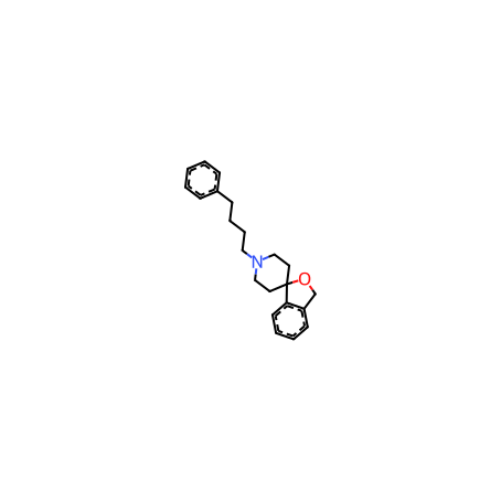 c1ccc(CCCCN2CCC3(CC2)OCc2ccccc23)cc1